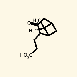 CC1(C)C2CC(=O)C(CCC(=O)O)C1C2